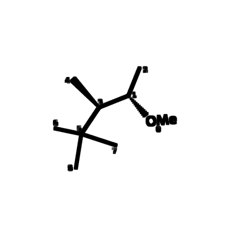 CO[C@@H](C)[C@H](C)C(C)(C)C